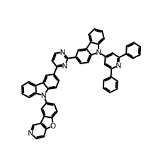 c1ccc(-c2cc(-n3c4ccccc4c4cc(-c5nccc(-c6ccc7c(c6)c6ccccc6n7-c6ccc7oc8ccncc8c7c6)n5)ccc43)cc(-c3ccccc3)n2)cc1